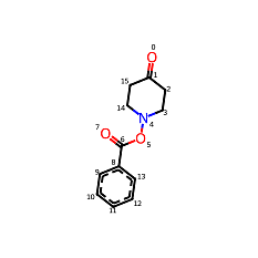 O=C1CCN(OC(=O)c2ccccc2)CC1